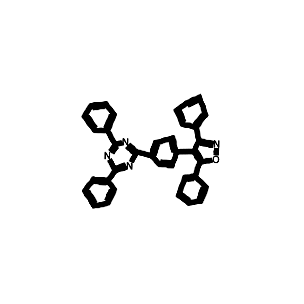 c1ccc(-c2nc(-c3ccccc3)nc(-c3ccc(-c4c(-c5ccccc5)noc4-c4ccccc4)cc3)n2)cc1